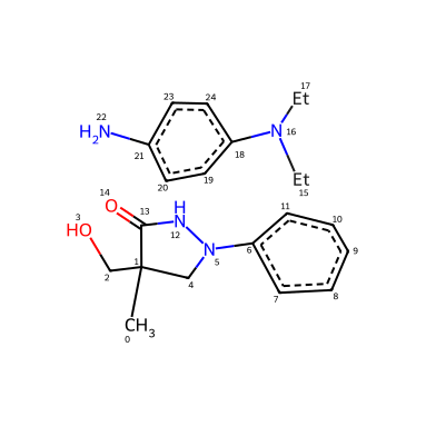 CC1(CO)CN(c2ccccc2)NC1=O.CCN(CC)c1ccc(N)cc1